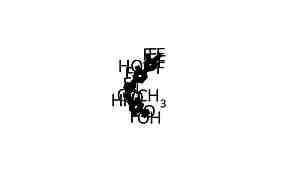 COc1cc(C(=O)O)c(F)cc1NS(=O)(=O)c1csc(-c2ccc(-c3cc(F)c(C(F)(F)F)c(F)c3)c(O)c2F)n1